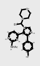 CCC(N1CCOCC1)n1cnc(-c2ccc(F)cc2)c1-c1ccnc(NC(C)=O)n1